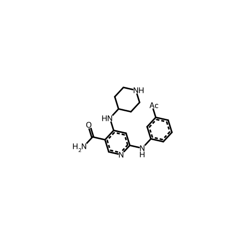 CC(=O)c1cccc(Nc2cc(NC3CCNCC3)c(C(N)=O)cn2)c1